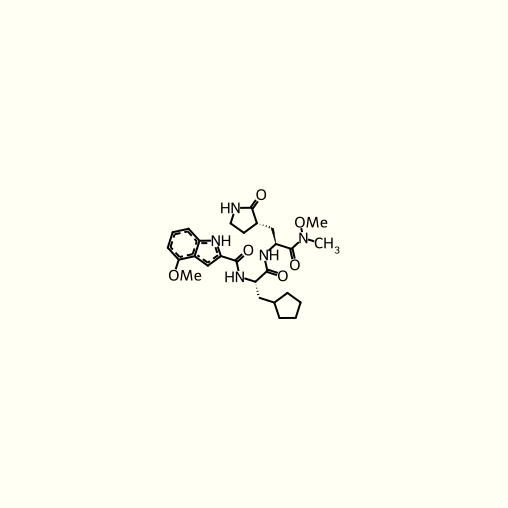 COc1cccc2[nH]c(C(=O)N[C@@H](CC3CCCC3)C(=O)N[C@@H](C[C@@H]3CCNC3=O)C(=O)N(C)OC)cc12